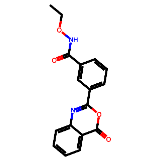 CCONC(=O)c1cccc(-c2nc3ccccc3c(=O)o2)c1